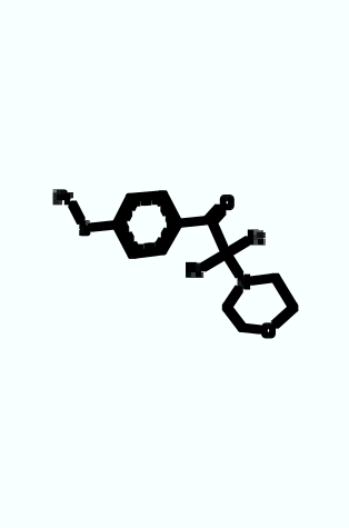 CCC(CC)(C(=O)c1ccc(SC(C)C)cc1)N1CCOCC1